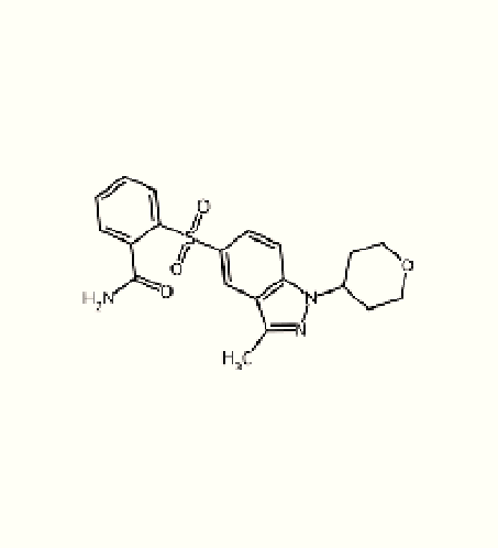 Cc1nn(C2CCOCC2)c2ccc(S(=O)(=O)c3ccccc3C(N)=O)cc12